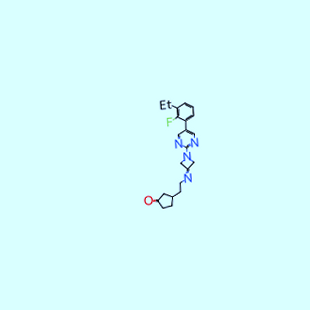 CCc1cccc(-c2cnc(N3CC(=NCCC4CCC(=O)C4)C3)nc2)c1F